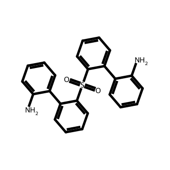 Nc1ccccc1-c1ccccc1S(=O)(=O)c1ccccc1-c1ccccc1N